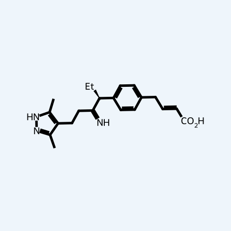 CC[C@H](C(=N)CCc1c(C)n[nH]c1C)c1ccc(C/C=C/C(=O)O)cc1